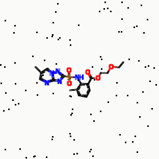 CCOCCOC(=O)c1cccc(C)c1NS(=O)(=O)c1nc2ncc(C)cn2n1